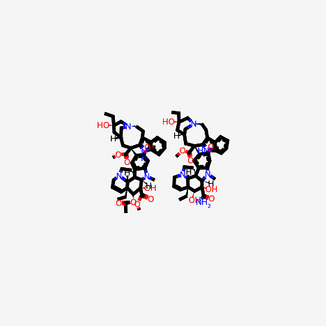 CC[C@]1(O)C[C@@H]2C[N@@](CCc3c([nH]c4ccccc34)[C@@](C(=O)OC)(c3cc4c(cc3OC)N(C)[C@H]3[C@@](O)(C(=O)OC)[C@H](OC(C)=O)[C@]5(CC)C=CCN6CC[C@]43[C@@H]65)C2)C1.CC[C@]1(O)C[C@H]2C[N@](CCc3c([nH]c4ccccc34)[C@@](C(=O)OC)(c3cc4c(cc3OC)N(C)[C@H]3[C@@](O)(C(N)=O)[C@H](O)[C@]5(CC)C=CCN6CC[C@]43[C@@H]65)C2)C1